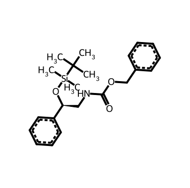 CC(C)(C)[Si](C)(C)O[C@@H](CNC(=O)OCc1ccccc1)c1ccccc1